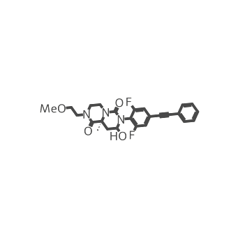 COCCN1CCN2C(=O)N(c3c(F)cc(C#Cc4ccccc4)cc3F)C(O)C[C@@]2(C)C1=O